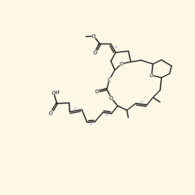 COC(=O)/C=C1\CC2CC(=O)OC(/C=C/C=C\C=C\CC(=O)O)C(C)/C=C/C(C)CC3CCCC(CC(C1)O2)O3